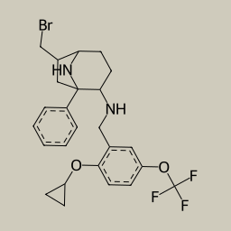 FC(F)(F)Oc1ccc(OC2CC2)c(CNC2CCC3NC2(c2ccccc2)CC3CBr)c1